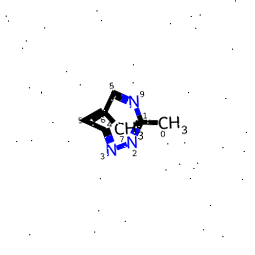 CC1=N/N=C/C=C(C)/C=N\1